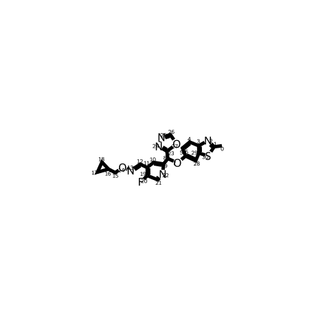 Cc1nc2ccc(OC(c3cc(/C=N/OCC4CC4)c(F)cn3)c3nnco3)cc2s1